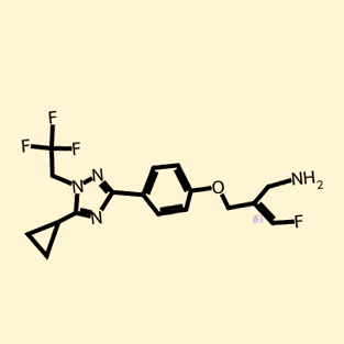 NC/C(=C\F)COc1ccc(-c2nc(C3CC3)n(CC(F)(F)F)n2)cc1